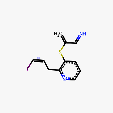 C=C(C=N)Sc1cccnc1C/C=C\I